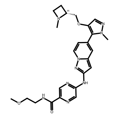 COCCNC(=O)c1cnc(Nc2cc3cc(-c4c(OC[C@H]5CCN5C)cnn4C)ccn3n2)cn1